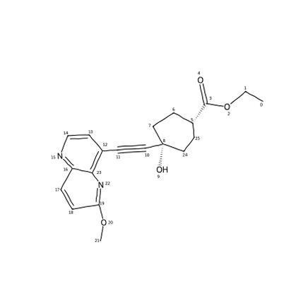 CCOC(=O)[C@H]1CC[C@](O)(C#Cc2ccnc3ccc(OC)nc23)CC1